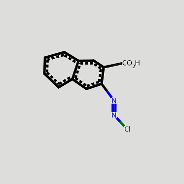 O=C(O)c1cc2ccccc2cc1N=NCl